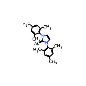 Cc1cc(C)c(-n2ccn(-c3c(C)cc(C)cc3C)[c]2=[Au])c(C)c1